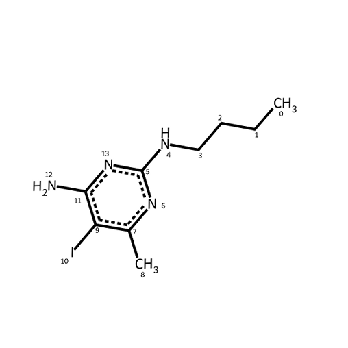 CCCCNc1nc(C)c(I)c(N)n1